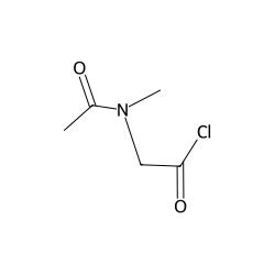 CC(=O)N(C)CC(=O)Cl